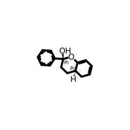 O[C@]1(c2ccccc2)CC[C@@H]2CC=CC=C2O1